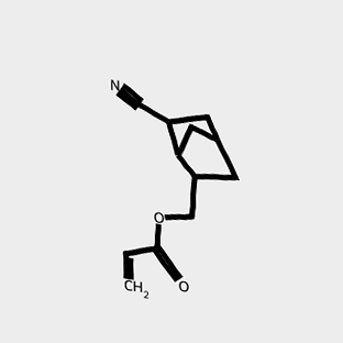 C=CC(=O)OCC1CC2CC(C#N)C1C2